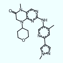 Cc1cc(-c2cnn(C)c2)ncc1Nc1ncc2c(n1)N(C1CCOCC1)CC(=O)N2C